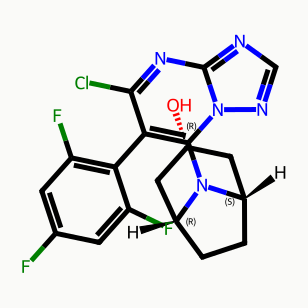 O[C@H]1C[C@H]2CC[C@@H](C1)N2c1c(-c2c(F)cc(F)cc2F)c(Cl)nc2ncnn12